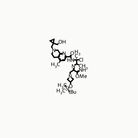 COC(=N)/C(CN1CC(O[Si](C)(C)C(C)(C)C)C1)=N\C(C)[C@](C)(Cl)NC(=O)c1cc(C)c2c(n1)CN(CC1(CO)CC1)CC2